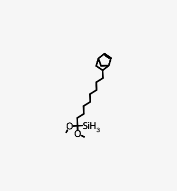 COC([SiH3])(CCCCCCCCC1CC2C=CC1C2)OC